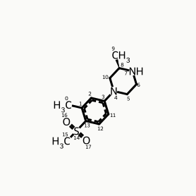 Cc1cc(N2CCN[C@H](C)C2)ccc1S(C)(=O)=O